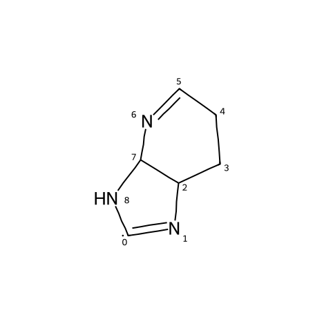 [C]1=NC2CCC=NC2N1